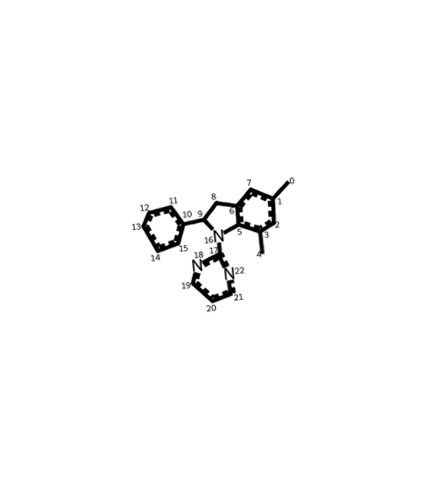 Cc1cc(C)c2c(c1)CC(c1ccccc1)N2c1ncccn1